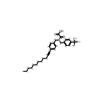 CCCCCCCCCCC#Cc1ccc(CN(Cc2ccc(C(F)(F)F)cc2)C(=O)C(=O)O)cc1